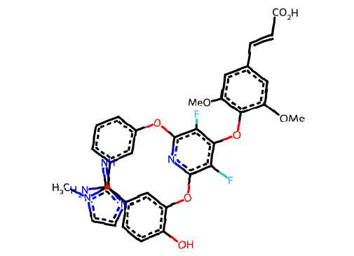 COc1cc(C=CC(=O)O)cc(OC)c1Oc1c(F)c(Oc2cccc(-c3nccn3C)c2)nc(Oc2cc(C(=N)N)ccc2O)c1F